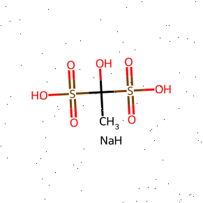 CC(O)(S(=O)(=O)O)S(=O)(=O)O.[NaH]